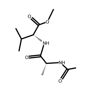 COC(=O)[C@H](NC(=O)[C@@H](C)NC(C)=O)C(C)C